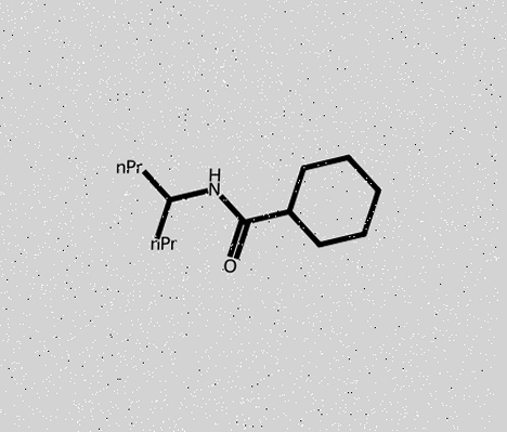 CCCC(CCC)NC(=O)C1CCCCC1